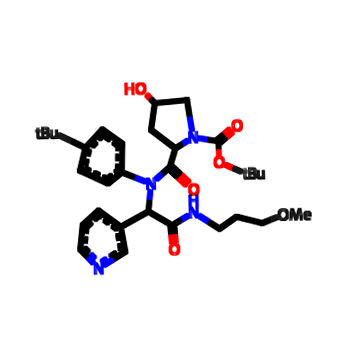 COCCCNC(=O)C(c1cccnc1)N(C(=O)C1CC(O)CN1C(=O)OC(C)(C)C)c1ccc(C(C)(C)C)cc1